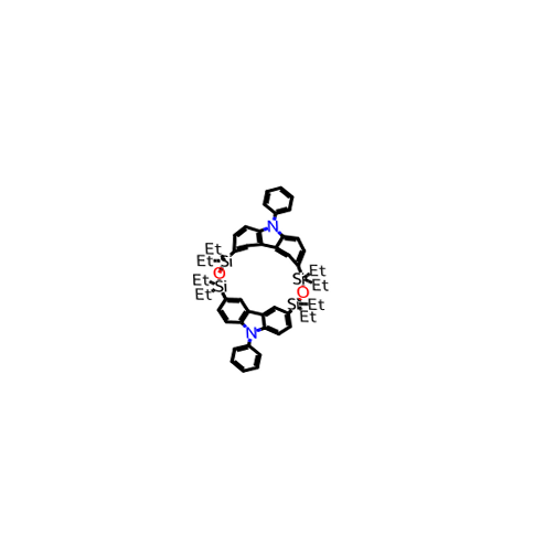 CC[Si]1(CC)O[Si](CC)(CC)c2ccc3c(c2)c2cc(ccc2n3-c2ccccc2)[Si](CC)(CC)O[Si](CC)(CC)c2ccc3c(c2)c2cc1ccc2n3-c1ccccc1